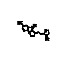 CCN1CCSC1=CC=C1CCn2c1[n+](CC)c1cc(C#N)ccc12